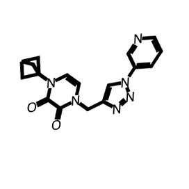 O=c1c(=O)n(C23CC(C2)C3)ccn1Cc1cn(-c2cccnc2)nn1